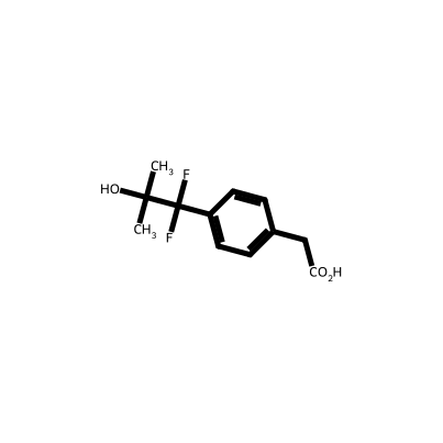 CC(C)(O)C(F)(F)c1ccc(CC(=O)O)cc1